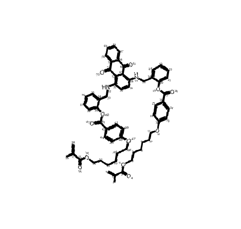 C=C(C)C(=O)OCCCCCCOc1ccc(C(=O)Oc2ccccc2CNc2ccc(NCc3ccccc3OC(=O)c3ccc(OCCCCCCOC(=O)C(=C)C)cc3)c3c2C(=O)c2ccccc2C3=O)cc1